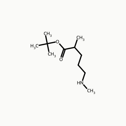 CNCCCC(C)C(=O)OC(C)(C)C